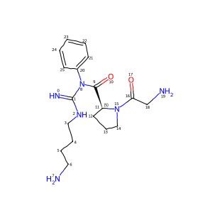 N=C(NCCCCN)N(C(=O)[C@@H]1CCCN1C(=O)CN)c1ccccc1